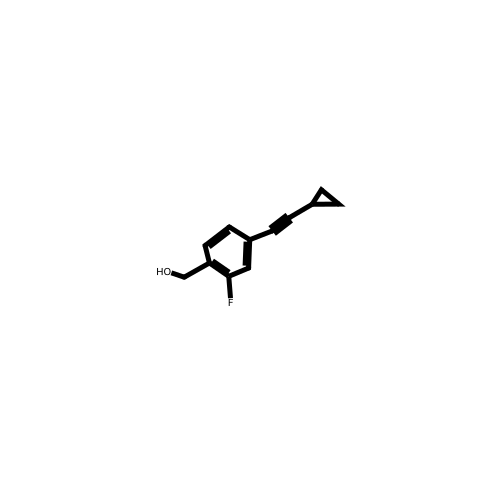 OCc1ccc(C#CC2CC2)cc1F